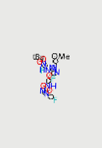 COc1ccc(Cn2nc(N[C@H]3CCN(C(=O)OC(C)(C)C)C[C@H]3F)c3c(Oc4ccc(NC(=O)c5nccn(-c6ccc(F)cc6)c5=O)cc4F)ccnc32)cc1